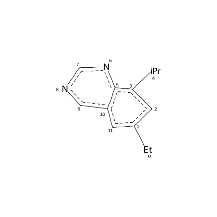 CCc1cc(C(C)C)c2ncncc2c1